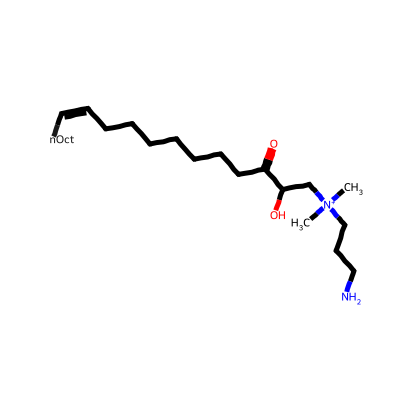 CCCCCCCC/C=C\CCCCCCCC(=O)C(O)C[N+](C)(C)CCCN